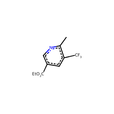 CCOC(=O)c1cnc(C)c(C(F)(F)F)c1